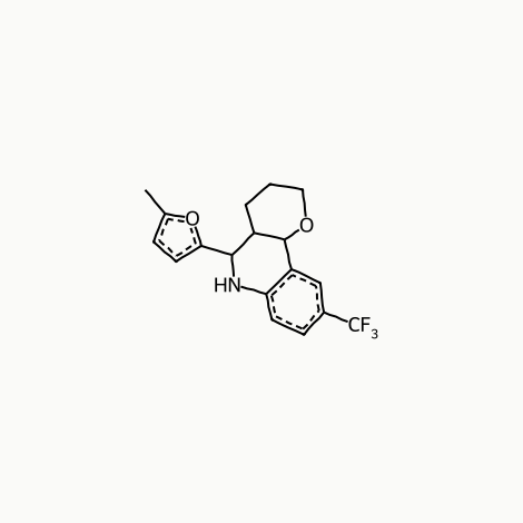 Cc1ccc(C2Nc3ccc(C(F)(F)F)cc3C3OCCCC23)o1